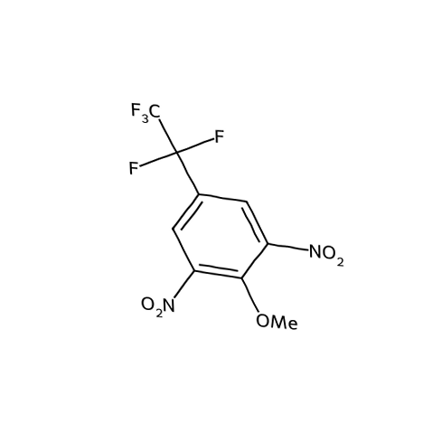 COc1c([N+](=O)[O-])cc(C(F)(F)C(F)(F)F)cc1[N+](=O)[O-]